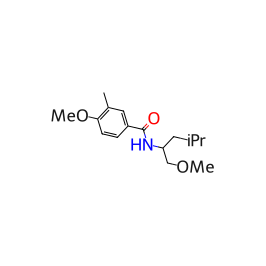 COCC(CC(C)C)NC(=O)c1ccc(OC)c(C)c1